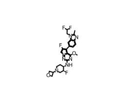 COc1nc(N[C@@H]2CCN(C3COC3)C[C@@H]2F)nn2cc(F)c(-c3ccc4nc(C)n(CC(F)F)c4c3)c12